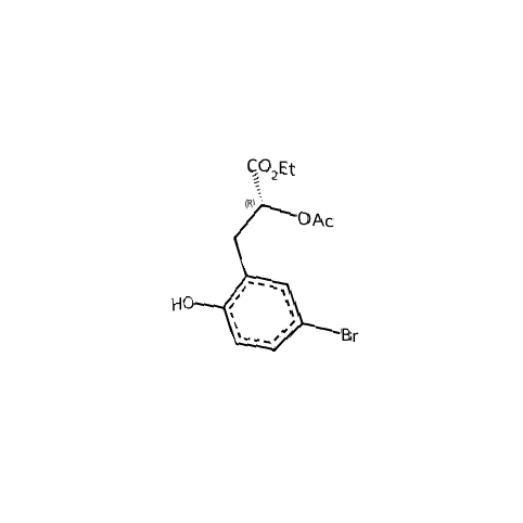 CCOC(=O)[C@@H](Cc1cc(Br)ccc1O)OC(C)=O